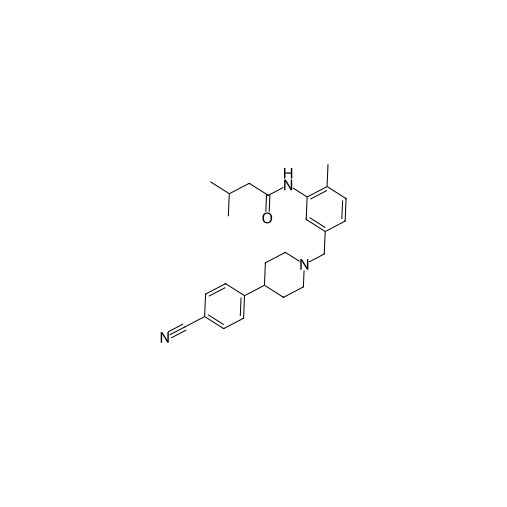 Cc1ccc(CN2CCC(c3ccc(C#N)cc3)CC2)cc1NC(=O)CC(C)C